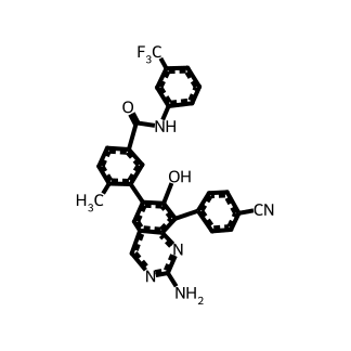 Cc1ccc(C(=O)Nc2cccc(C(F)(F)F)c2)cc1-c1cc2cnc(N)nc2c(-c2ccc(C#N)cc2)c1O